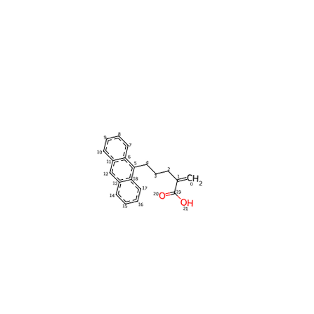 C=C(CCCc1c2ccccc2cc2ccccc12)C(=O)O